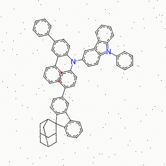 c1ccc(-c2ccc(N(c3ccc(-c4ccc5c(c4)-c4ccccc4C54C5CC6CC(C5)CC4C6)cc3)c3ccc4c(c3)c3ccccc3n4-c3ccccc3)c(-c3ccccc3)c2)cc1